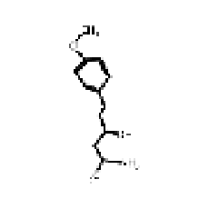 COc1ccc(CCC(O)CC(C)N)cc1